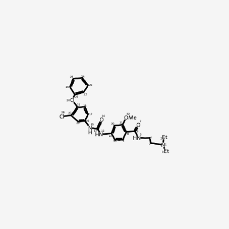 CCN(CC)CCNC(=O)c1ccc(NC(=O)Nc2ccc(Oc3ccccc3)c(Cl)c2)cc1OC